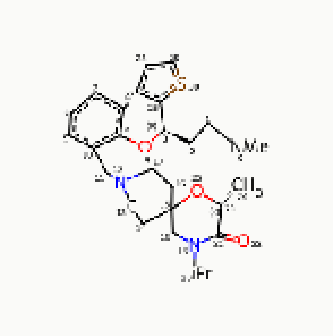 CNCC[C@@H](Oc1ccccc1CN1CCC2(CC1)CN(C(C)C)C(=O)[C@@H](C)O2)c1cccs1